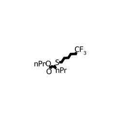 CCCOC(=O)C(CCC)SCCCCCC(F)(F)F